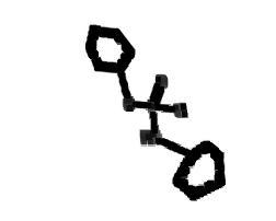 O=P(Cl)(Nc1ccccc1)Oc1ccccc1